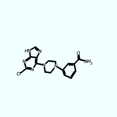 NC(=O)c1cccc(N2CCN(c3nc(Cl)nc4[nH]cnc34)CC2)c1